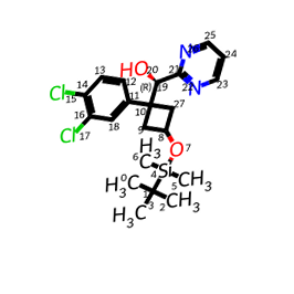 CC(C)(C)[Si](C)(C)OC1CC(c2ccc(Cl)c(Cl)c2)([C@@H](O)c2ncccn2)C1